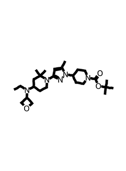 CCN(C1COC1)C1CCN(c2cc(C)n(C3CCN(C(=O)OC(C)(C)C)CC3)n2)C(C)(C)C1